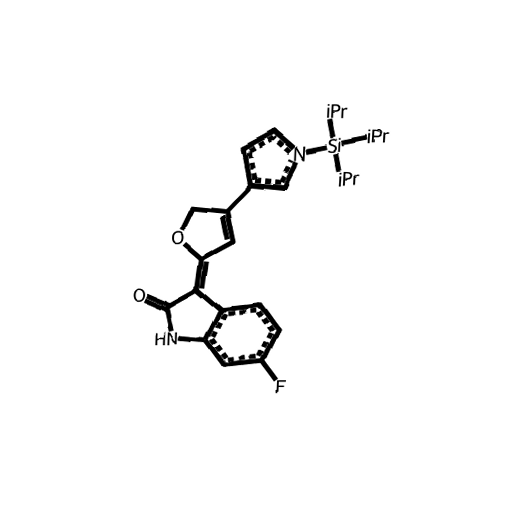 CC(C)[Si](C(C)C)(C(C)C)n1ccc(C2=CC(=C3C(=O)Nc4cc(F)ccc43)OC2)c1